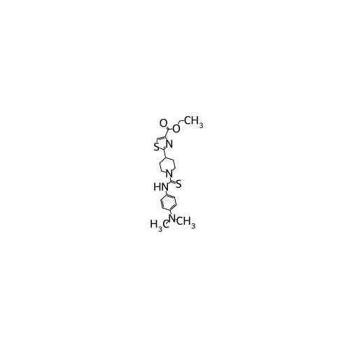 CCOC(=O)c1csc(C2CCN(C(=S)Nc3ccc(N(C)C)cc3)CC2)n1